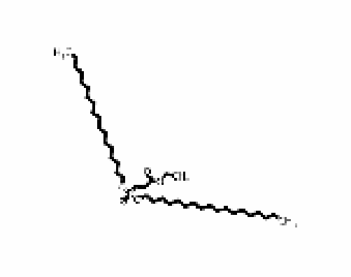 CCCCCCCCCCCCCCCCCCOP(=O)(CCC(=O)OCC)OCCCCCCCCCCCCCCCCCC